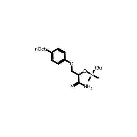 CCCCCCCCc1ccc(OCC(O[Si](C)(C)C(C)(C)C)C(N)=S)cc1